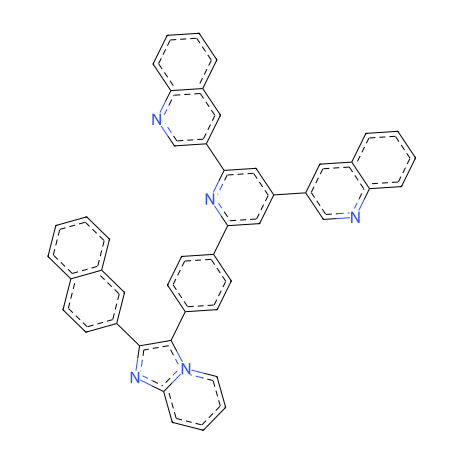 c1ccc2cc(-c3nc4ccccn4c3-c3ccc(-c4cc(-c5cnc6ccccc6c5)cc(-c5cnc6ccccc6c5)n4)cc3)ccc2c1